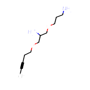 CC#CCCOCC(N)COCCCN